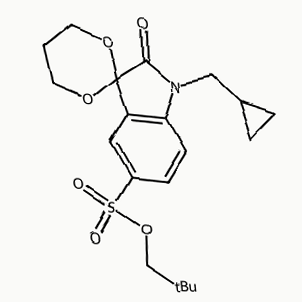 CC(C)(C)COS(=O)(=O)c1ccc2c(c1)C1(OCCCO1)C(=O)N2CC1CC1